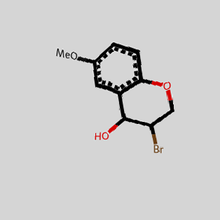 COc1ccc2c(c1)C(O)C(Br)CO2